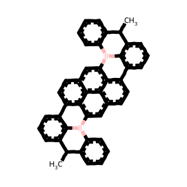 CC1c2ccccc2B2c3c(cccc31)-c1ccc3cc4c5c(ccc6cc2c1c3c65)-c1cccc2c1B4c1ccccc1C2C